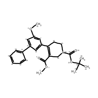 COC(=O)C1=C(c2cc(OC)cc(-c3ccccc3)c2)CCN(C(=O)OC(C)(C)C)C1